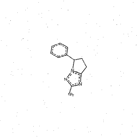 CCCc1nc2n(n1)C(c1ccccc1)CC2